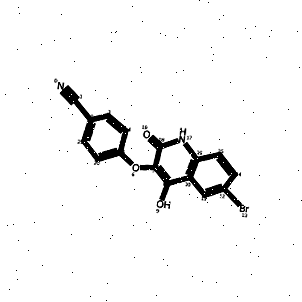 N#Cc1ccc(Oc2c(O)c3cc(Br)ccc3[nH]c2=O)cc1